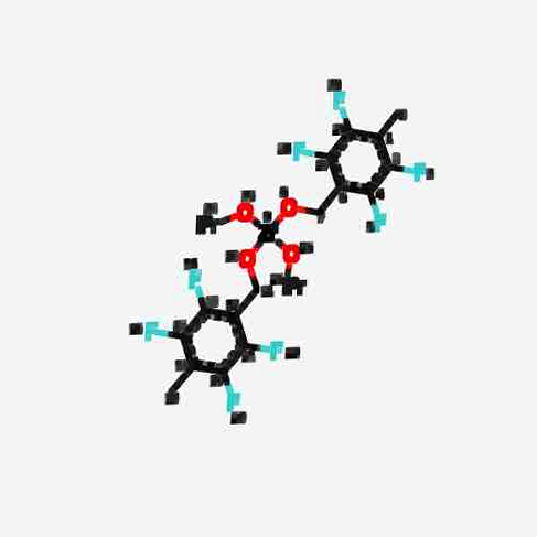 Cc1c(F)c(F)c(C[O][Zr]([O]Cc2c(F)c(F)c(C)c(F)c2F)([O]C(C)C)[O]C(C)C)c(F)c1F